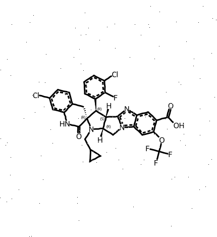 O=C(O)c1cc2nc3n(c2cc1OC(F)(F)F)C[C@H]1[C@@H]3[C@H](c2cccc(Cl)c2F)[C@@]2(Cc3ccc(Cl)cc3NC2=O)N1CC1CC1